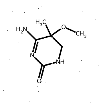 COC1(C)CNC(=O)N=C1N